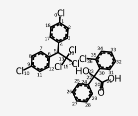 Clc1ccc(C(c2ccc(Cl)cc2)C(Cl)(Cl)Cl)cc1.O=C(O)C(O)(c1ccccc1)c1ccccc1Cl